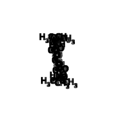 CC[C@H](C)[C@H](NC(=O)C1C(=O)c2ccc(Oc3ccc4c(c3)C(=O)C(C(=O)N[C@H](C(=O)OC)[C@@H](C)CC)C4=O)cc2C1=O)C(=O)OC